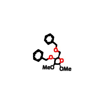 CO[C@H]1O[C@H](COCc2ccccc2)[C@@H](OCc2ccccc2)[C@@H]1OC